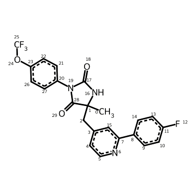 CC1(Cc2ccnc(-c3ccc(F)cc3)c2)NC(=O)N(c2ccc(OC(F)(F)F)cc2)C1=O